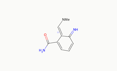 CN/C=C1\C(=N)C=CC=C1C(N)=O